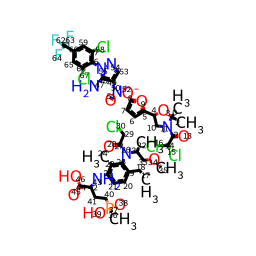 CC1(C)OC(c2ccco2)CN1C(=O)C(Cl)Cl.CCc1cccc(C)c1N(C(=O)CCl)C(C)COC.CP(=O)(O)CCC(N)C(=O)O.Nc1c([N+](=O)[O-])cnn1-c1c(Cl)cc(C(F)(F)F)cc1Cl